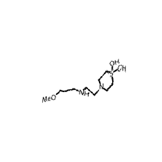 COCCCNCCN1CCS(O)(O)CC1